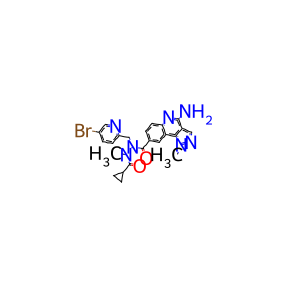 CN(C(=O)C1CC1)N(Cc1ccc(Br)cn1)C(=O)c1ccc2nc(N)c3cnn(C)c3c2c1